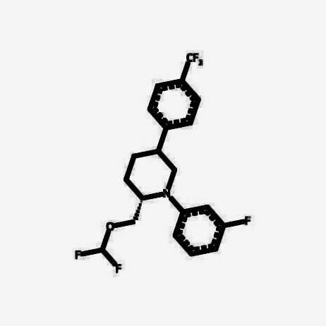 Fc1cccc(N2CC(c3ccc(C(F)(F)F)cc3)CC[C@H]2COC(F)F)c1